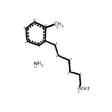 CCCCCCCCCCCCCc1ccccc1C.N